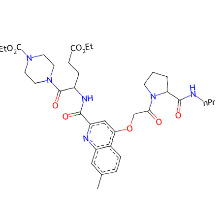 CCCNC(=O)C1CCCN1C(=O)COc1cc(C(=O)NC(CCC(=O)OCC)C(=O)N2CCN(C(=O)OCC)CC2)nc2cc(C)ccc12